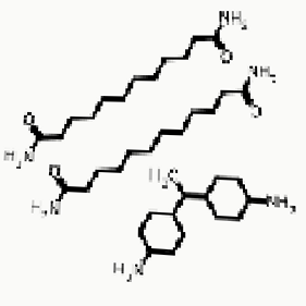 CC(C1CCC(N)CC1)C1CCC(N)CC1.NC(=O)CCCCCCCCCCC(N)=O.NC(=O)CCCCCCCCCCC(N)=O